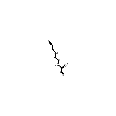 C=CCNCCOC(=O)C=C